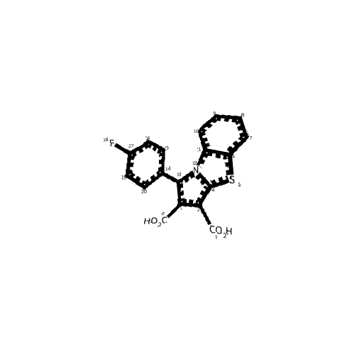 O=C(O)c1c(C(=O)O)c2sc3ccccc3n2c1-c1ccc(F)cc1